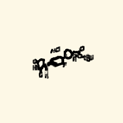 CC(C)(C)OC(=O)CC1(O)CCCN(c2ccc(NC3CCC(=O)NC3=O)cc2F)CC1.Cl